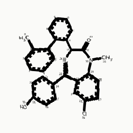 Cc1ccccc1-c1ccccc1C1N=C(c2ccc(O)cc2)c2cc(Cl)ccc2N(C)C1=O